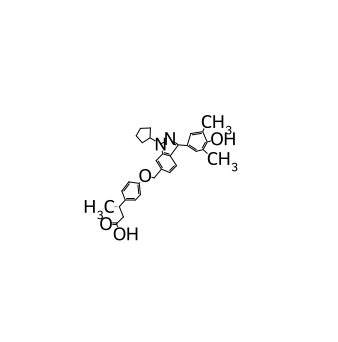 Cc1cc(-c2nn(C3CCCC3)c3cc(COc4ccc([C@@H](C)CC(=O)O)cc4)ccc23)cc(C)c1O